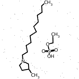 CCCCCCCCCCCCN1CCC(C)C1.CCOS(=O)(=O)O